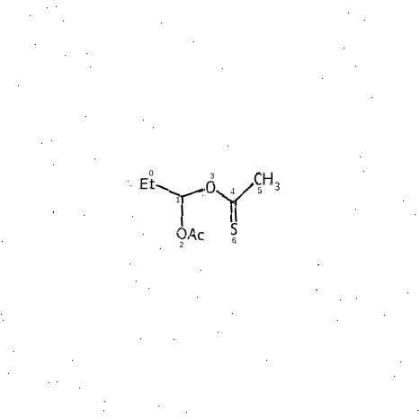 CCC(OC(C)=O)OC(C)=S